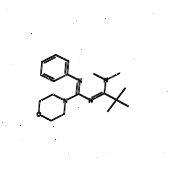 CN(C)/C(=N\C(=N\c1ccccc1)N1CCOCC1)C(C)(C)C